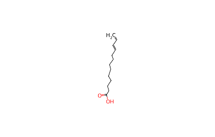 C=CC=CCCCCCCCCC(=O)O